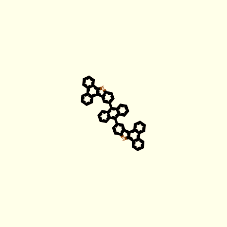 c1ccc2c(-c3ccc4sc5c6ccccc6c6ccccc6c5c4c3)c3ccccc3c(-c3ccc4sc5c6ccccc6c6ccccc6c5c4c3)c2c1